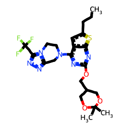 CCCc1cc2c(N3CCn4c(nnc4C(F)(F)F)C3)nc(OCC3COC(C)(C)OC3)nc2s1